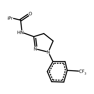 CC(C)C(=O)NC1=NN(c2cccc(C(F)(F)F)c2)CC1